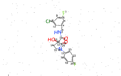 O=C(NCc1cc(F)cc(Cl)c1)[C@@]1(O)CCN(c2ccc(F)cc2)C1=O